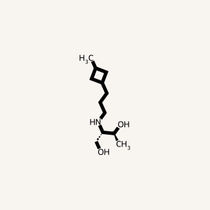 CC1CC(CCCN[C@@H](CO)[C@H](C)O)C1